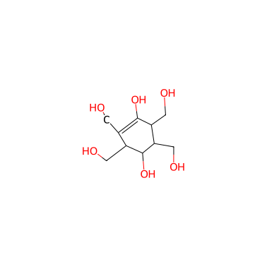 OCC1=C(O)C(CO)C(CO)C(O)C1CO